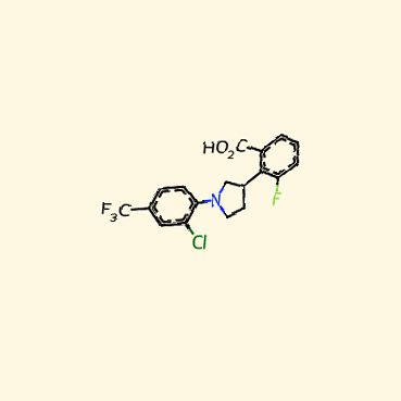 O=C(O)c1cccc(F)c1C1CCN(c2ccc(C(F)(F)F)cc2Cl)C1